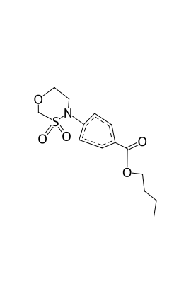 CCCCOC(=O)c1ccc(N2CCOCS2(=O)=O)cc1